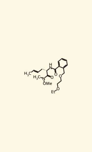 C/C=C/C[C@H](NC(=O)c1ccccc1COCCOCC)C(=O)N(C)OC